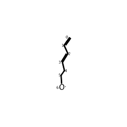 C=C/C=C/CC[O]